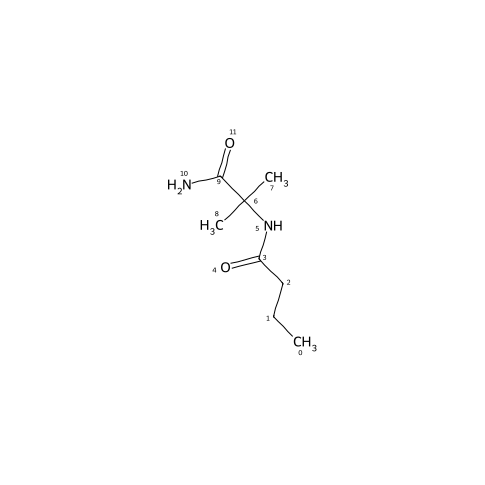 CCCC(=O)NC(C)(C)C(N)=O